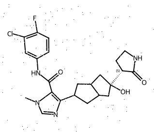 Cn1cnc(C2CC3CC(O)([C@@H]4CCNC4=O)CC3C2)c1C(=O)Nc1ccc(F)c(Cl)c1